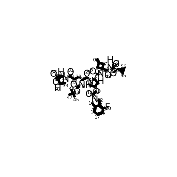 C=C1CC(NC(=O)[C@@H]2CC(OC(=O)N3Cc4cccc(F)c4C3)CN2C(=O)[C@H](CCC(=O)N2C[C@H]3C[C@@H]2C(=O)O3)NC(=O)OC(C)(C)C)(C(=O)NS(=O)(=O)C2CC2)C1